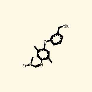 CCN(C)/C=N\c1cc(C)c(Oc2cccc(CC(C)(C)C)c2)cc1C